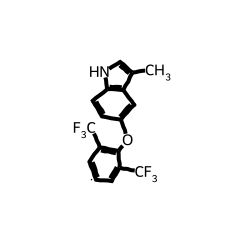 Cc1c[nH]c2ccc(Oc3c(C(F)(F)F)c[c]cc3C(F)(F)F)cc12